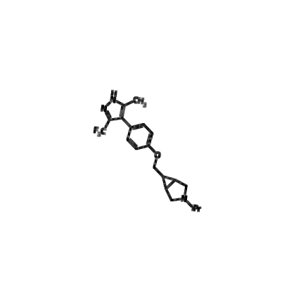 Cc1[nH]nc(C(F)(F)F)c1-c1ccc(OCC2C3CN(C(C)C)CC23)cc1